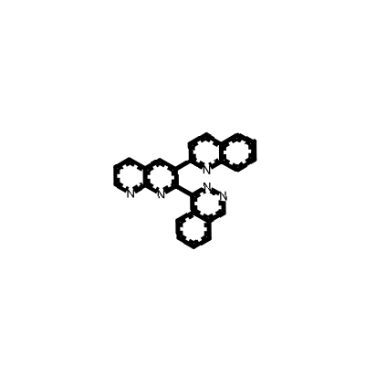 c1ccc2nc(-c3cc4cccnc4nc3-c3nncc4ccccc34)ccc2c1